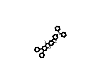 O=c1c2cc(-c3ccccc3)c(-c3ccccc3)cc2oc2cc3oc4cc(N(c5ccccc5)c5ccccc5)ccc4c3cc12